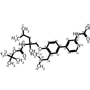 CC(C)CC(C)(COc1ccc(-c2ccnc(NC(=O)O)c2)cc1CN(C)C)NC(=O)OC(C)(C)C